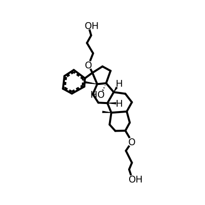 C[C@]12CCC(OCCCO)CC1CC[C@@H]1[C@H]2CC[C@]2(C)C(OCCCO)(c3ccccc3)CC[C@@]12O